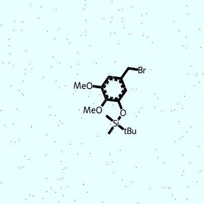 COc1cc(CBr)cc(O[Si](C)(C)C(C)(C)C)c1OC